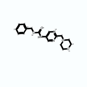 O=C(Nc1cnc(CN2CCOCC2)nc1)OCc1ccccc1